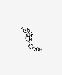 Cn1c(=O)n(CC2(C(F)(F)F)CC2)c2ccc(-c3cccc(C(C)(C)O)c3)nc21